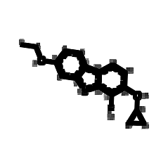 CCOc1ccc2c(c1)sc1c(F)c(OC3CC3)ccc12